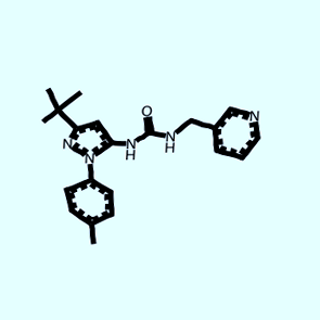 Cc1ccc(-n2nc(C(C)(C)C)cc2NC(=O)NCc2cccnc2)cc1